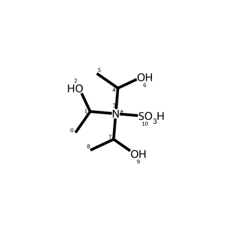 CC(O)[N+](C(C)O)(C(C)O)S(=O)(=O)O